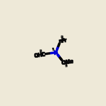 [CH2]CCN(C=O)OC